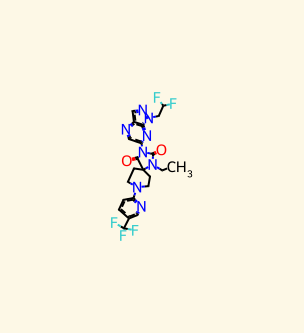 CCN1C(=O)N(c2cnc3cnn(CC(F)F)c3n2)C(=O)C12CCN(c1ccc(C(F)(F)F)cn1)CC2